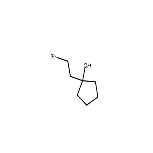 CC(C)CCC1(O)CCCC1